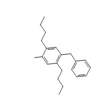 CCCCc1cc(Cc2ccccc2)c(CCCC)cc1O